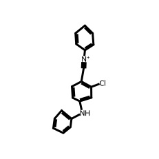 Clc1cc(Nc2ccccc2)ccc1C#[N+]c1ccccc1